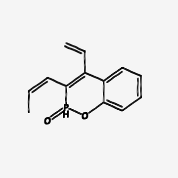 C=CC1=C(/C=C\C)[PH](=O)Oc2ccccc21